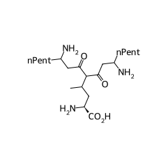 CCCCCC(N)CC(=O)C(C(=O)CC(N)CCCCC)C(C)C[C@H](N)C(=O)O